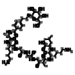 CC(C)CC(NC(=O)C(CCCCN)NC(=O)C(C)C(=O)CNC(=O)CNC(=O)CNC(=O)C(CCCCN)NC(=O)C(C)NC(=O)c1ccc(CCSC2OC(CO)C(O)C(O)C2O)cc1)C(=O)O